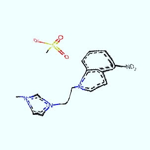 CS(=O)(=O)[O-].C[n+]1ccn(CCn2ccc3c([N+](=O)[O-])cccc32)c1